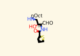 CCCCCCCCNC[C@H](O)[C@@H](C=O)NC(=O)c1cccs1